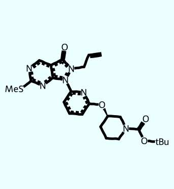 C=CCn1c(=O)c2cnc(SC)nc2n1-c1cccc(O[C@@H]2CCCN(C(=O)OC(C)(C)C)C2)n1